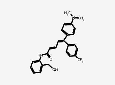 CN(C)c1ccc(C(=CC=CC(=O)Nc2ccccc2CO)c2ccc(C(F)(F)F)cc2)cc1